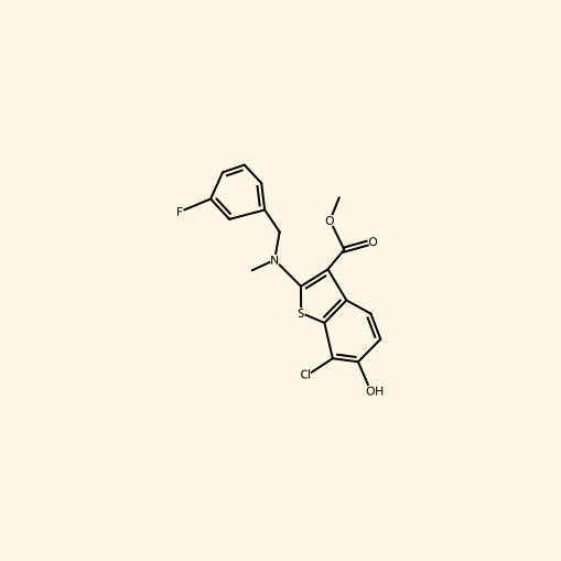 COC(=O)c1c(N(C)Cc2cccc(F)c2)sc2c(Cl)c(O)ccc12